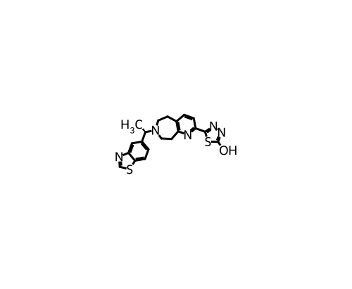 C[C@H](c1ccc2scnc2c1)N1CCc2ccc(-c3nnc(O)s3)nc2CC1